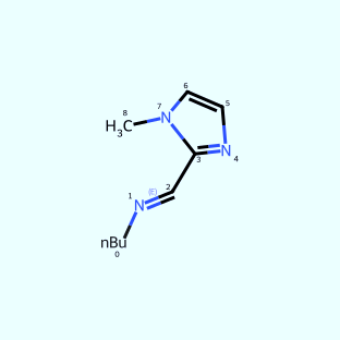 CCCC/N=C/c1nccn1C